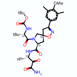 CCC[C@H](NC(=O)[C@@H]1C[C@]2(CC(c3cc(C)c(OC)c(C)c3)=NO2)CN1C(=O)[C@@H](NC(=O)OC(C)(C)C)C(C)(C)C)C(=O)C(N)=O